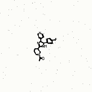 CC(=O)N1CCCC(C2=NC(c3ccncc3)C(c3ccc(F)cc3)N2)C1